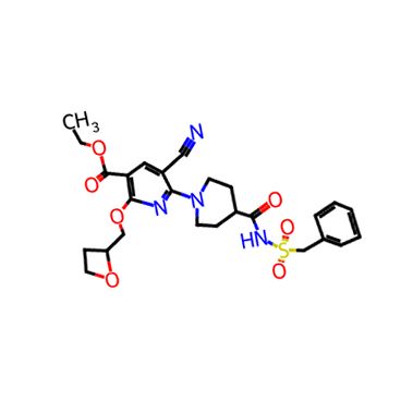 CCOC(=O)c1cc(C#N)c(N2CCC(C(=O)NS(=O)(=O)Cc3ccccc3)CC2)nc1OCC1CCO1